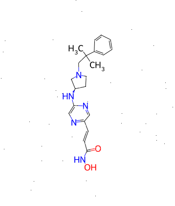 CC(C)(CN1CC[C@@H](Nc2cnc(/C=C/C(=O)NO)cn2)C1)c1ccccc1